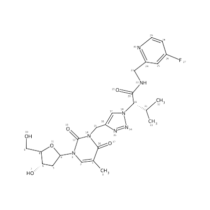 Cc1cn(C2C[C@H](O)C(CO)O2)c(=O)n(Cc2cn([C@H](C(=O)NCc3cc(F)ccn3)C(C)C)nn2)c1=O